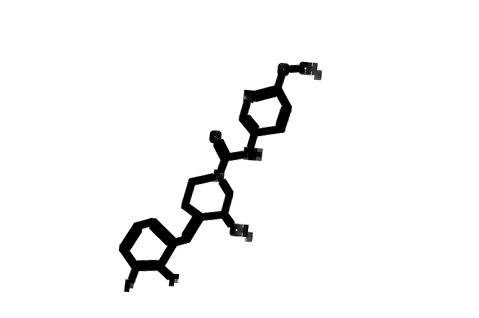 COc1ccc(NC(=O)N2CC/C(=C\c3cccc(F)c3F)C(C)C2)cn1